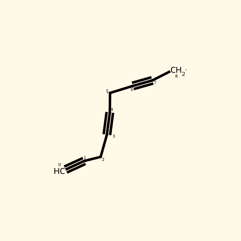 C#CCC#C[CH]C#C[CH2]